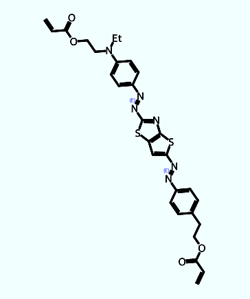 C=CC(=O)OCCc1ccc(/N=N/c2cc3sc(/N=N/c4ccc(N(CC)CCOC(=O)C=C)cc4)nc3s2)cc1